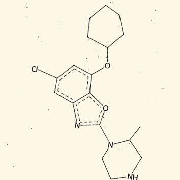 CC1CNCCN1c1nc2cc(Cl)cc(OC3CCCCC3)c2o1